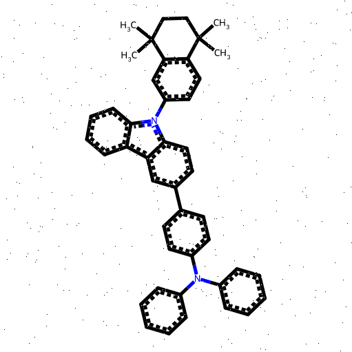 CC1(C)CCC(C)(C)c2cc(-n3c4ccccc4c4cc(-c5ccc(N(c6ccccc6)c6ccccc6)cc5)ccc43)ccc21